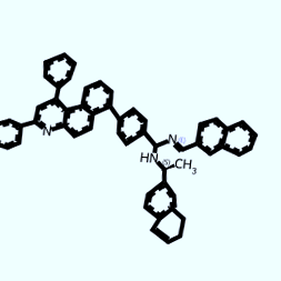 C[C@H](NC(/N=C/c1ccc2ccccc2c1)c1ccc(-c2cccc3c2ccc2nc(-c4ccccc4)cc(-c4ccccc4)c23)cc1)c1ccc2c(c1)CCC=C2